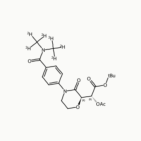 [2H]C([2H])([2H])N(C(=O)c1ccc(N2CCO[C@H]([C@@H](OC(C)=O)C(=O)OC(C)(C)C)C2=O)cc1)C([2H])([2H])[2H]